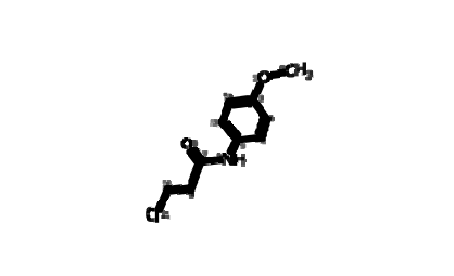 COc1ccc(NC(=O)CCCl)cc1